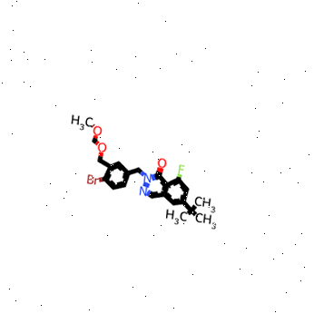 COCOCc1cc(Cn2ncc3cc(C(C)(C)C)cc(F)c3c2=O)ccc1Br